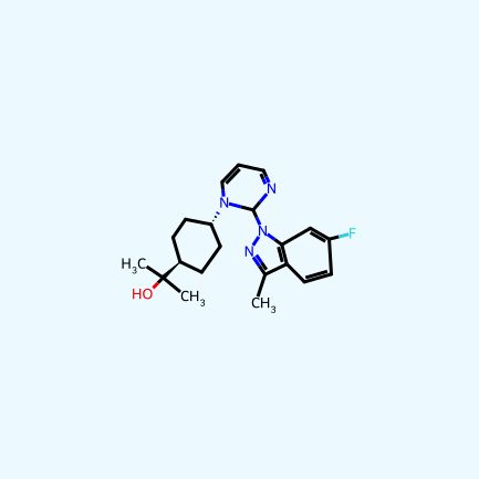 Cc1nn(C2N=CC=CN2[C@H]2CC[C@H](C(C)(C)O)CC2)c2cc(F)ccc12